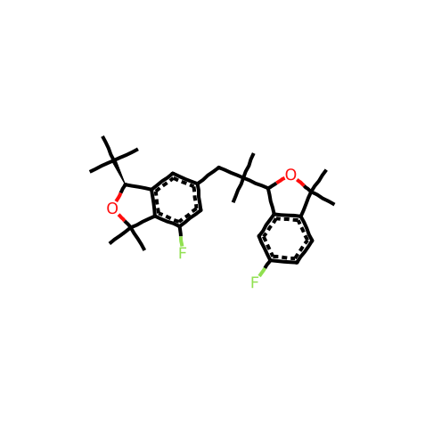 CC1(C)OC(C(C)(C)Cc2cc(F)c3c(c2)[C@H](C(C)(C)C)OC3(C)C)c2cc(F)ccc21